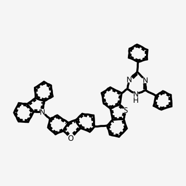 c1ccc(C2=NC(c3cccc4c3sc3cccc(-c5ccc6c(c5)oc5ccc(-n7c8ccccc8c8ccccc87)cc56)c34)NC(c3ccccc3)=N2)cc1